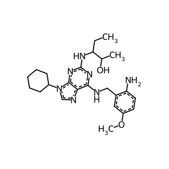 CCC(Nc1nc(NCc2cc(OC)ccc2N)c2ncn(C3CCCCC3)c2n1)C(C)O